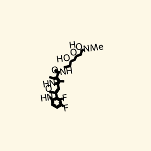 CNC(=O)CC(O)CC(O)CCNC(=O)c1c(C)[nH]c(/C=C2\C(=O)Nc3ccc(F)c(F)c32)c1C